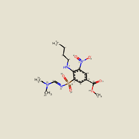 CCCCNc1c([N+](=O)[O-])cc(C(=O)OC)cc1S(=O)(=O)N=CN(C)C